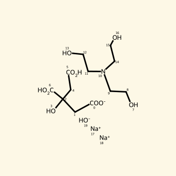 O=C([O-])CC(O)(CC(=O)O)C(=O)O.OCCN(CCO)CCO.[Na+].[Na+].[OH-]